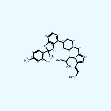 COC(C)Cn1c(/C=C/C(=O)O)cnc1CN1CCC(c2cccc3c2OC(C)(c2ccc(C)cc2F)O3)CC1